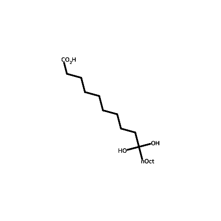 CCCCCCCCC(O)(O)CCCCCCCCC(=O)O